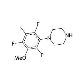 COc1c(F)c(C)c(F)c(N2CCNCC2)c1F